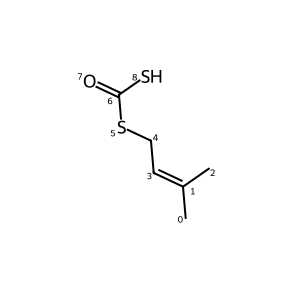 CC(C)=CCSC(=O)S